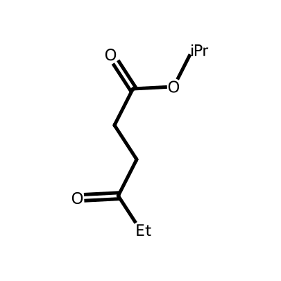 CCC(=O)CCC(=O)OC(C)C